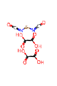 O=C(O)C(=O)O.O=C(O)C(=O)O.O=C=NSN=C=O